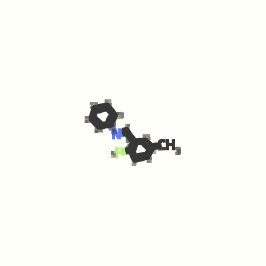 Cc1ccc(F)c(/C=N/c2ccccc2)c1